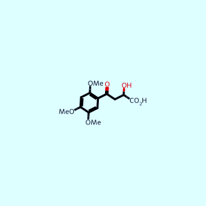 COc1cc(OC)c(C(=O)CC(O)C(=O)O)cc1OC